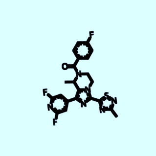 Cc1nsc(-c2nc(-c3cc(F)nc(F)c3)c3n2CCN(C(=O)c2ccc(F)cc2)C3C)n1